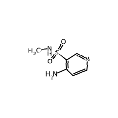 CNS(=O)(=O)c1cnccc1N